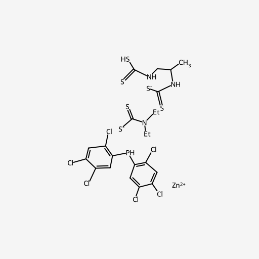 CC(CNC(=S)S)NC(=S)[S-].CCN(CC)C(=S)[S-].Clc1cc(Cl)c(Pc2cc(Cl)c(Cl)cc2Cl)cc1Cl.[Zn+2]